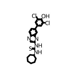 Oc1c(Cl)cc(-c2ccc3ncc(NC(=S)NC4CCCCCC4)nc3c2)cc1Cl